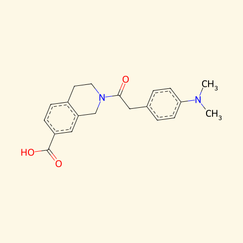 CN(C)c1ccc(CC(=O)N2CCc3ccc(C(=O)O)cc3C2)cc1